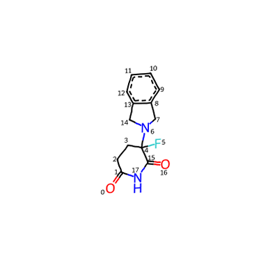 O=C1CCC(F)(N2Cc3ccccc3C2)C(=O)N1